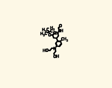 Cc1ccc(N(CCO)CCO)cc1C(CNBC=O)CC(=O)OC(C)(C)C